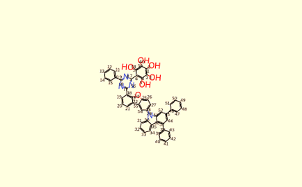 Oc1c(O)c(O)c(-c2nc(-c3ccccc3)nc(-c3cccc4c3oc3ccc(-n5c6ccccc6c6c(-c7ccccc7)cc(-c7ccccc7)cc65)cc34)n2)c(O)c1O